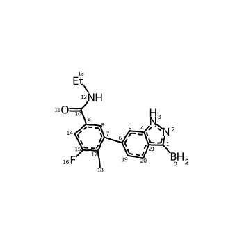 Bc1n[nH]c2cc(-c3cc(C(=O)NCC)cc(F)c3C)ccc12